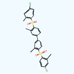 Cc1cc(Cl)ccc1S(=O)(=O)c1ccc(-c2ccc(S(=O)(=O)c3ccc(Cl)cc3C)c(C)c2)cc1C